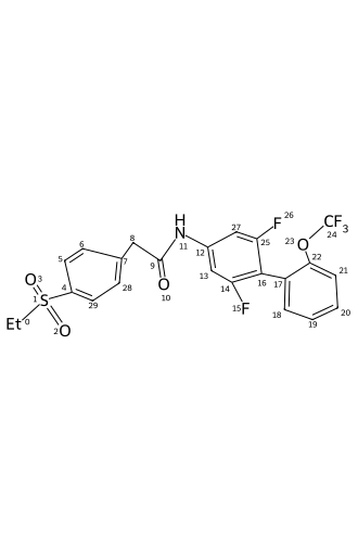 CCS(=O)(=O)c1ccc(CC(=O)Nc2cc(F)c(-c3ccccc3OC(F)(F)F)c(F)c2)cc1